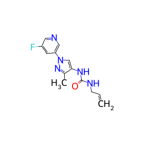 C=CCNC(=O)Nc1cn(-c2cncc(F)c2)nc1C